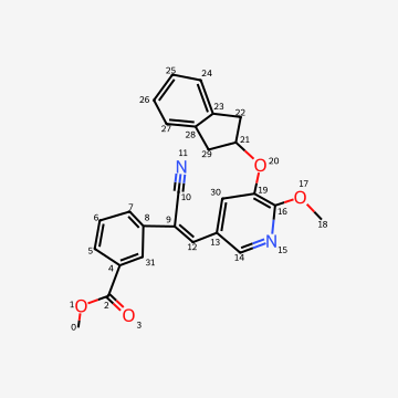 COC(=O)c1cccc(C(C#N)=Cc2cnc(OC)c(OC3Cc4ccccc4C3)c2)c1